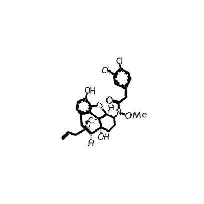 C=CCN1CC[C@]23c4c5ccc(O)c4O[C@H]2[C@@H](N(OC)C(=O)Cc2ccc(Cl)c(Cl)c2)CC[C@@]3(O)[C@H]1C5